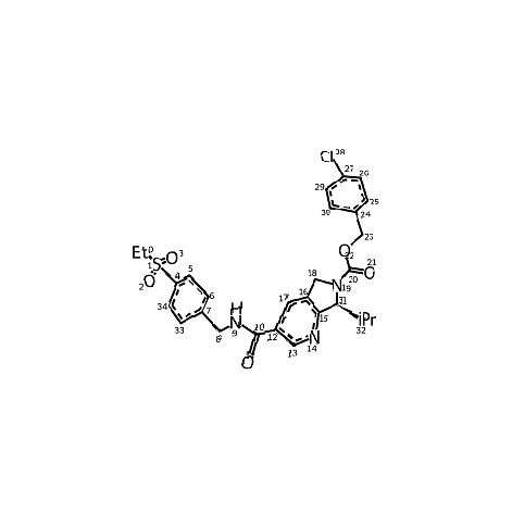 CCS(=O)(=O)c1ccc(CNC(=O)c2cnc3c(c2)CN(C(=O)OCc2ccc(Cl)cc2)[C@H]3C(C)C)cc1